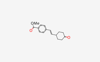 COC(=O)c1ccc(C=CC2CCC(=O)CC2)cc1